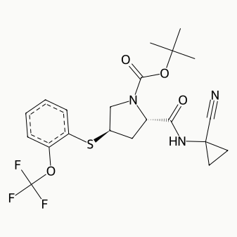 CC(C)(C)OC(=O)N1C[C@H](Sc2ccccc2OC(F)(F)F)C[C@H]1C(=O)NC1(C#N)CC1